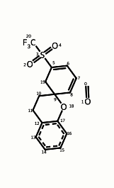 C=O.O=S(=O)(C1=CC=CC2(CCc3ccccc3O2)C1)C(F)(F)F